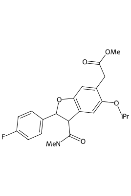 CNC(=O)C1c2cc(OC(C)C)c(CC(=O)OC)cc2OC1c1ccc(F)cc1